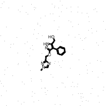 Cn1cnc(COc2n[nH]c(CO)c2-c2ccccc2)n1